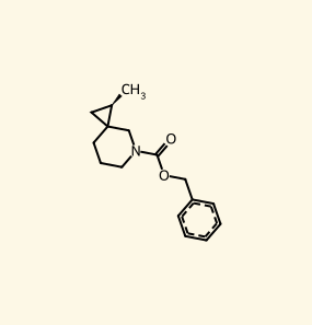 C[C@@H]1CC12CCCN(C(=O)OCc1ccccc1)C2